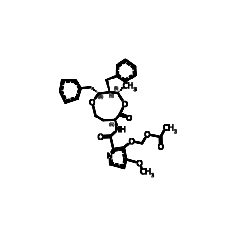 COc1ccnc(C(=O)N[C@H]2CCO[C@H](Cc3ccccc3)[C@@H](Cc3ccccc3)[C@H](C)OC2=O)c1OCOC(C)=O